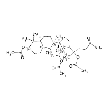 BC(=O)CCC(C)(OC(C)=O)C1CC[C@]2(C)[C@@H]1C(OC(C)=O)CC1[C@@]3(C)CC[C@H](OC(C)=O)C(C)(C)C3CC[C@]12C